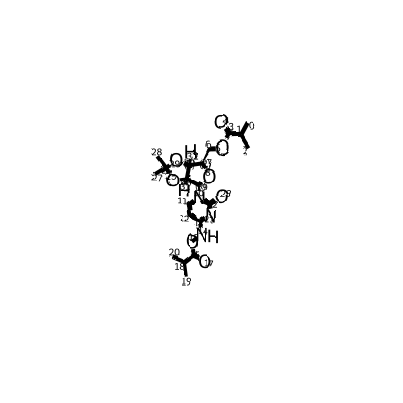 CC(C)C(=O)OC[C@H]1O[C@@H](n2ccc(NOC(=O)C(C)C)nc2=O)[C@@H]2OC(C)(C)O[C@@H]21